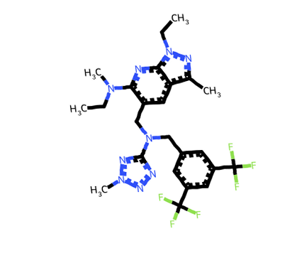 CCN(C)c1nc2c(cc1CN(Cc1cc(C(F)(F)F)cc(C(F)(F)F)c1)c1nnn(C)n1)c(C)nn2CC